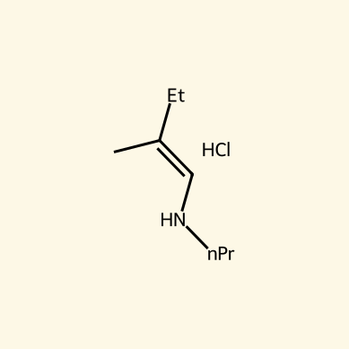 CCCNC=C(C)CC.Cl